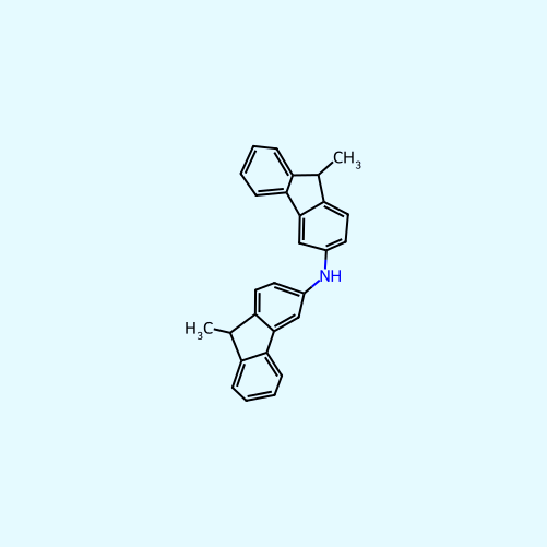 CC1c2ccccc2-c2cc(Nc3ccc4c(c3)-c3ccccc3C4C)ccc21